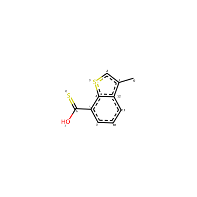 Cc1csc2c(C(O)=S)cccc12